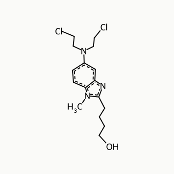 Cn1c(CCCCO)nc2cc(N(CCCl)CCCl)ccc21